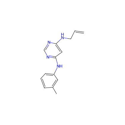 C=CCNc1cc(Nc2cccc(C)c2)ncn1